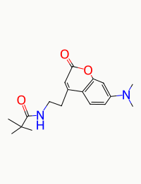 CN(C)c1ccc2c(CCNC(=O)C(C)(C)C)cc(=O)oc2c1